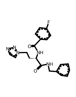 O=C(N[C@@H](CCn1ccnn1)C(=O)NCc1ccccc1)c1ccc(F)cc1